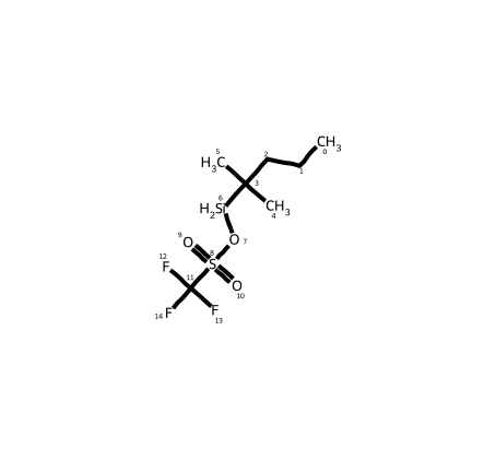 CCCC(C)(C)[SiH2]OS(=O)(=O)C(F)(F)F